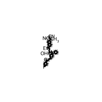 CCN(CCN(C=O)CN(c1ccccc1)C1CCN(CCCC(=O)c2ccc(F)cc2)CC1)c1ccc2cc(C(C)=C(C#N)C#N)ccc2c1